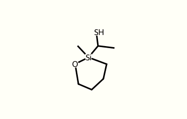 CC(S)[Si]1(C)CCCCO1